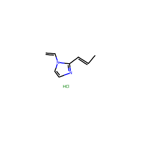 C=Cn1ccnc1C=CC.Cl